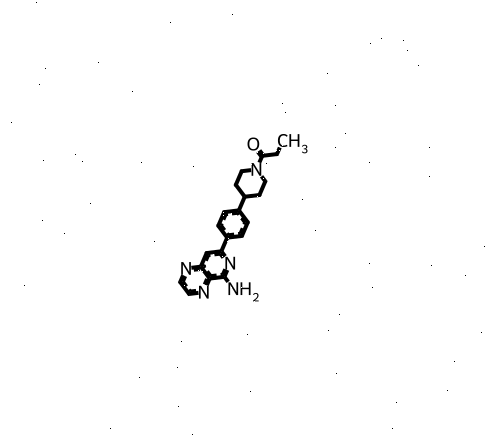 CCC(=O)N1CCC(c2ccc(-c3cc4nccnc4c(N)n3)cc2)CC1